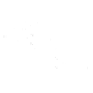 CC1(C)COCC1n1c(Cc2c(F)cc(-c3ccnc(OCc4ccc(F)cc4)n3)c(F)c2F)nc2ccc(C(=O)O)cc21